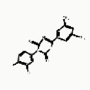 Cc1cc(C)cc(-c2nc(=O)n(-c3ccc(Cl)c(Cl)c3)c(=O)o2)c1